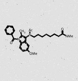 CNC(=O)CCCCCCCN(C(C)=O)c1c(C)n(C(=O)c2ccccc2)c2ccc(OC)cc12